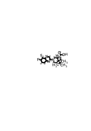 CC(C)(C)C12CCN(c3cnc4c(F)c(F)ccc4n3)C[C@H]1N(C(=O)O)C2